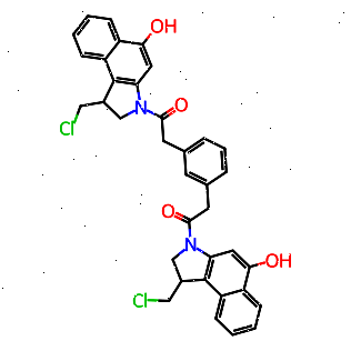 O=C(Cc1cccc(CC(=O)N2CC(CCl)c3c2cc(O)c2ccccc32)c1)N1CC(CCl)c2c1cc(O)c1ccccc21